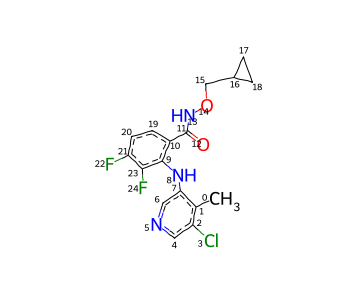 Cc1c(Cl)cncc1Nc1c(C(=O)NOCC2CC2)ccc(F)c1F